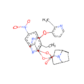 Cc1ncccc1Oc1ncnc(OC2CC3CCC(C2)N3C(=O)OCc2ccc([N+](=O)[O-])cc2)c1C